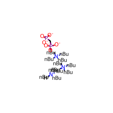 CCCC[N+](CCCC)(CCCC)CCCC.CCCC[N+](CCCC)(CCCC)CCCC.CCCC[N+](CCCC)(CCCC)CCCC.O=P([O-])([O-])CP(=O)([O-])[O-].[H+]